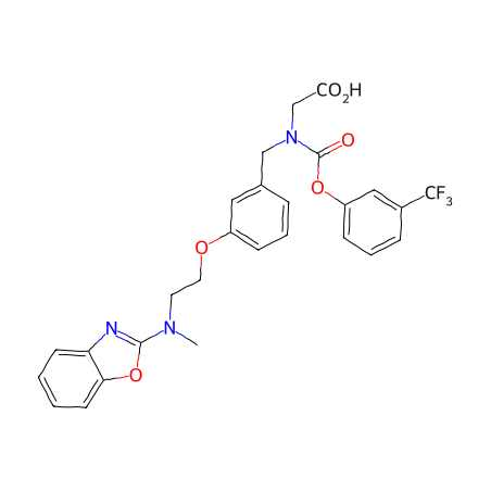 CN(CCOc1cccc(CN(CC(=O)O)C(=O)Oc2cccc(C(F)(F)F)c2)c1)c1nc2ccccc2o1